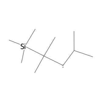 CC(C)[CH]C(C)(C)[Si](C)(C)C